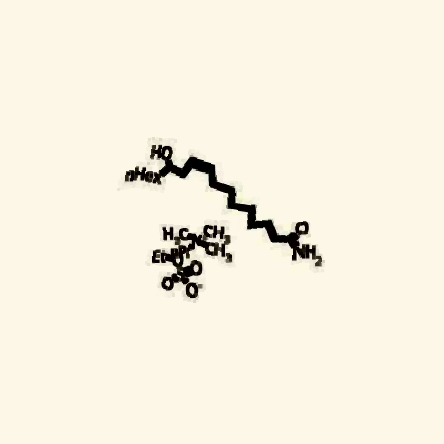 CCCCCCC(O)C/C=C\CCCCCCCC(N)=O.CCC[N+](C)(C)C.CCOS(=O)(=O)[O-]